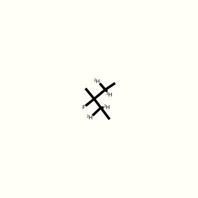 [2H]C([2H])(C)C(C)(F)C([2H])([2H])C